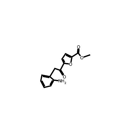 COC(=O)c1ccc(C(=O)Cc2ccccc2N)o1